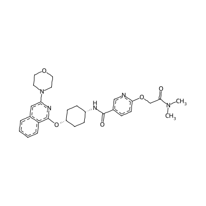 CN(C)C(=O)COc1ccc(C(=O)N[C@H]2CC[C@@H](Oc3nc(N4CCOCC4)cc4ccccc34)CC2)cn1